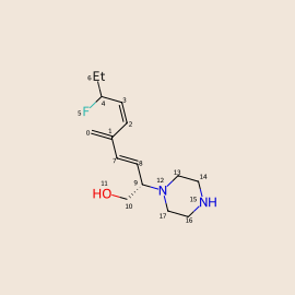 C=C(/C=C\C(F)CC)/C=C/[C@@H](CO)N1CCNCC1